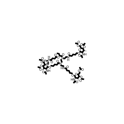 CCC(OC(=O)CCC(=O)N[SH](=P)=S)C(=O)N(CCNC(=O)CCCCO[C@@H]1OC(COC(C)=O)[C@H](OC(C)=O)[C@H](C)C1NC(C)=O)CCN(CCNC(=O)CCCCO[C@@H]1OC(COC(C)=O)[C@H](OC(C)=O)[C@H](C)C1NC(C)=O)C(=O)CCCCO[C@@H]1OC(COC(C)=O)[C@H](OC(C)=O)[C@H](C)C1NC(C)=O